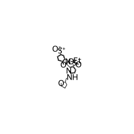 CCS(=O)(=O)c1ccc(NCC2CCCO2)nc1-c1nc2cc([S+](C)[O-])ccc2o1